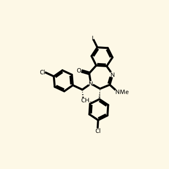 CNC1=Nc2ccc(I)cc2C(=O)N([C@H](C)c2ccc(Cl)cc2)[C@H]1c1ccc(Cl)cc1